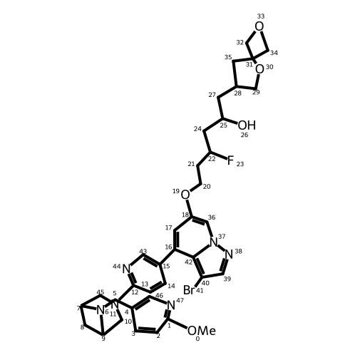 COc1ccc(CN2C3CC2CN(c2ccc(-c4cc(OCCC(F)CC(O)CC5COC6(COC6)C5)cn5ncc(Br)c45)cn2)C3)cn1